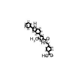 Cn1nc(C(=O)NCc2ccc(C(=O)O)cc2)cc1-c1ccc2[nH]c(-c3cccnc3)cc2c1